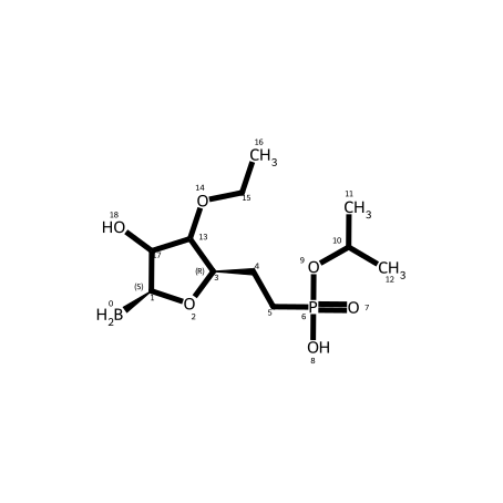 B[C@@H]1O[C@H](CCP(=O)(O)OC(C)C)C(OCC)C1O